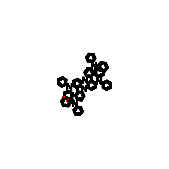 c1ccc(N(c2ccccc2)c2ccc3c(c2)c2c(N(c4ccccc4)c4ccccc4)ccc4c2n3c2ccc(N(c3ccccc3)c3ccccc3)c3c5cc(N(c6ccccc6)c6ccccc6)ccc5n4c32)cc1